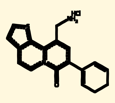 Cl.NCc1cc(C2=CCCC=C2)c(=O)n2ccc3ccsc3c12